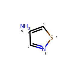 N.c1cnsc1